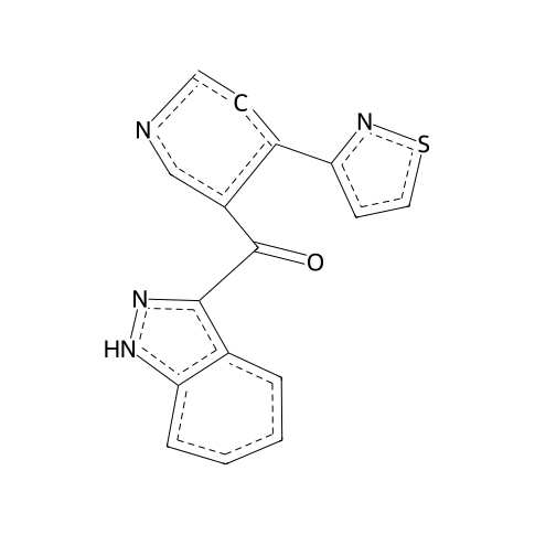 O=C(c1cnccc1-c1ccsn1)c1n[nH]c2ccccc12